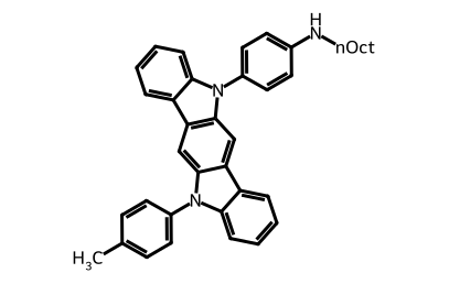 CCCCCCCCNc1ccc(-n2c3ccccc3c3cc4c(cc32)c2ccccc2n4-c2ccc(C)cc2)cc1